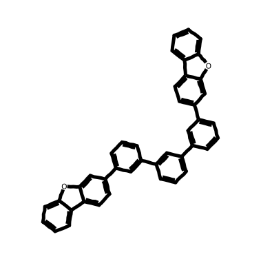 c1cc(-c2cccc(-c3ccc4c(c3)oc3ccccc34)c2)cc(-c2cccc(-c3ccc4c(c3)oc3ccccc34)c2)c1